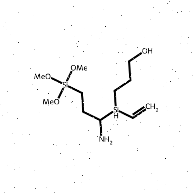 C=C[SiH](CCCO)C(N)CC[Si](OC)(OC)OC